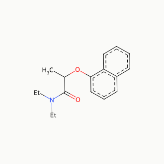 CCN(CC)C(=O)C(C)Oc1cccc2ccccc12